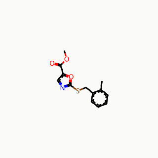 COC(=O)c1cnc(SCc2ccccc2C)o1